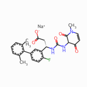 Cc1cccc(C)c1-c1ccc(F)c([C@H](CC(=O)[O-])NC(=O)NC2C(=O)C=CN(C)C2=O)c1.[Na+]